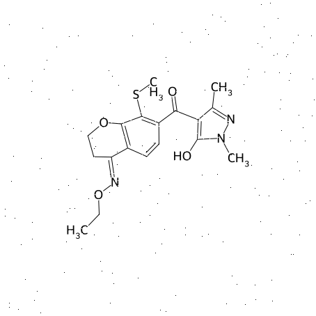 CCON=C1CCOc2c1ccc(C(=O)c1c(C)nn(C)c1O)c2SC